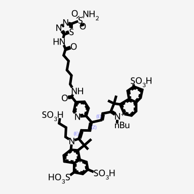 CCCC[N+]1=C(/C=C/C(=C/C=C2/N(CCCS(=O)(=O)O)c3ccc4c(S(=O)(=O)O)cc(S(=O)(=O)O)cc4c3C2(C)C)c2ccc(C(=O)NCCCCCC(=O)Nc3nnc(S(N)(=O)=O)s3)cn2)C(C)(C)c2c1ccc1ccc(S(=O)(=O)O)cc21